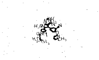 C=C(C)C(=O)Nc1ccc(-c2c(-c3ccc(Oc4cccc(C)n4)c(C#N)c3)c3c(N)ncnc3n2C)cc1